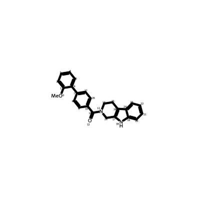 COc1ccccc1-c1ccc(C(=O)N2CCc3c([nH]c4ccccc34)C2)cc1